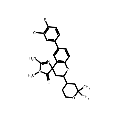 CN1C(=O)C2(CC(C3CCOC(C)(C)C3)Oc3ccc(-c4ccc(F)c(Cl)c4)cc32)N=C1N